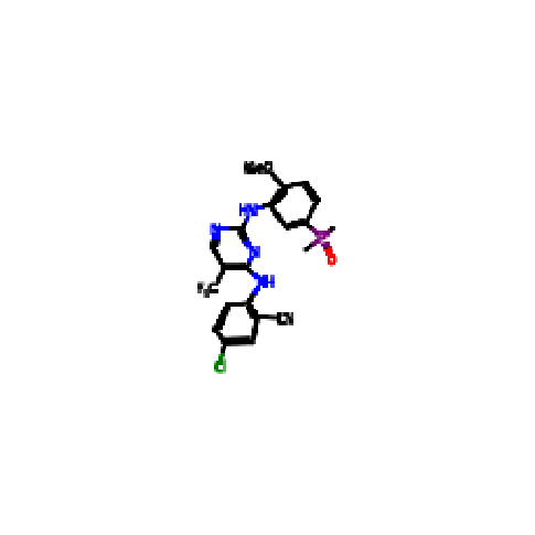 COc1ccc(P(C)(C)=O)cc1Nc1ncc(C(F)(F)F)c(Nc2ccc(Cl)cc2C#N)n1